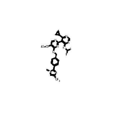 COc1cnc(-c2c(OC(F)F)ncnc2C2CC2)nc1OCc1ccc(-c2nc(C(F)(F)F)cn2C)cc1